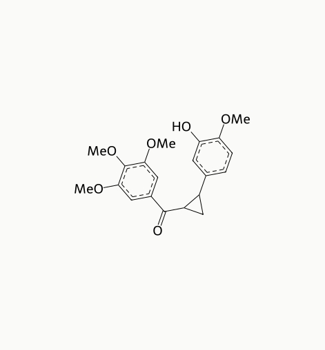 COc1ccc(C2CC2C(=O)c2cc(OC)c(OC)c(OC)c2)cc1O